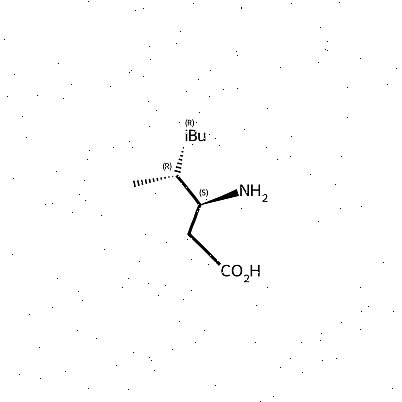 CC[C@@H](C)[C@@H](C)[C@@H](N)CC(=O)O